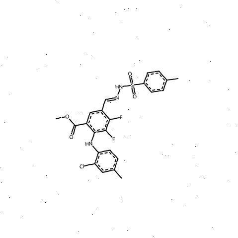 COC(=O)c1cc(/C=N/NS(=O)(=O)c2ccc(C)cc2)c(F)c(F)c1Nc1ccc(C)cc1Cl